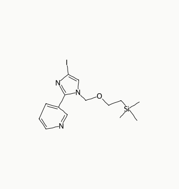 C[Si](C)(C)CCOCn1cc(I)nc1-c1cccnc1